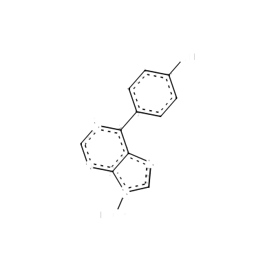 Cc1ccc(-c2ncnc3c2ncn3C)cc1